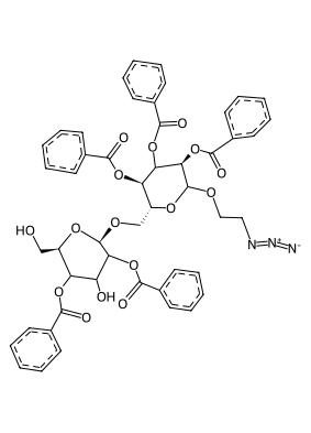 [N-]=[N+]=NCCOC1O[C@H](CO[C@@H]2O[C@H](CO)C(OC(=O)c3ccccc3)C(O)C2OC(=O)c2ccccc2)[C@@H](OC(=O)c2ccccc2)C(OC(=O)c2ccccc2)[C@H]1OC(=O)c1ccccc1